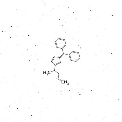 C=CCC(C)C1=CC(=C(c2ccccc2)c2ccccc2)C=C1